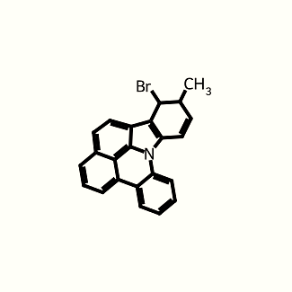 CC1C=Cc2c(c3ccc4cccc5c6ccccc6n2c3c45)C1Br